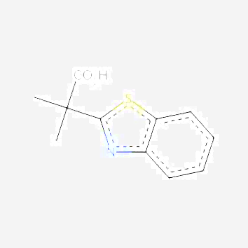 CC(C)(C(=O)O)c1nc2ccccc2s1